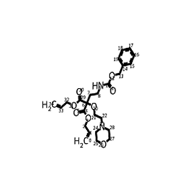 C=CCOC(=O)C(CCNC(=O)OCc1ccccc1)(OCCN1CCOCC1)C(=O)OCC=C